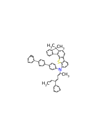 C=C/C(=C\C=C(/C)N(c1ccc(-c2ccc(-c3c#cccc3)cc2)cc1)c1cccc2c1sc1c3c(ccc12)C(C)(C)c1ccccc1-3)c1ccccc1